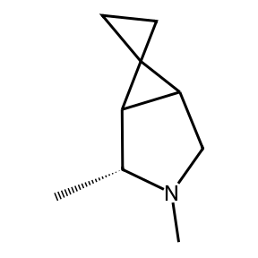 C[C@@H]1C2C(CN1C)C21CC1